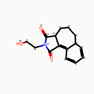 O=C1C2=C3C=CC=CC3CCCC2C(=O)N1CCO